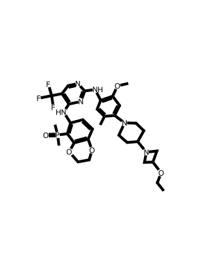 CCOC1CN(C2CCN(c3cc(OC)c(Nc4ncc(C(F)(F)F)c(Nc5ccc6c(c5P(C)(C)=O)OCCO6)n4)cc3C)CC2)C1